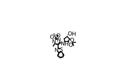 Cc1nc(S(C)(=O)=O)nc(N[C@@H]2C[C@H](CO)C3OC(C)(C)OC32)c1-c1nc2ccccc2s1